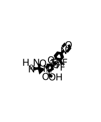 N#CC1(C(N)=O)CC1N1C[C@H](S(=O)(=O)c2ccc(N3CCOCC3)cc2C(F)(F)F)C[C@H]1C(=O)O